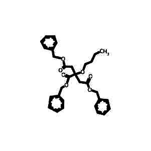 CCCCOC(CC(=O)OCc1ccccc1)(CC(=O)OCc1ccccc1)C(=O)OCc1ccccc1